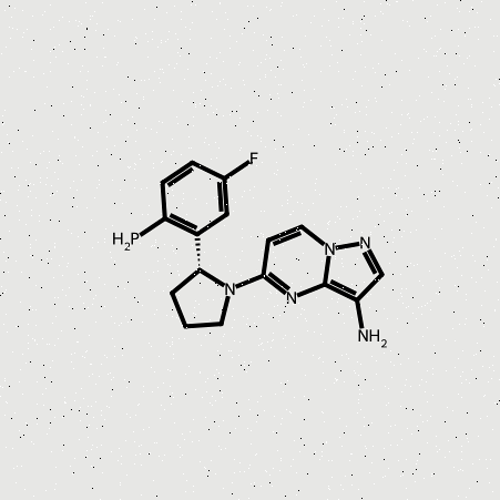 Nc1cnn2ccc(N3CCC[C@@H]3c3cc(F)ccc3P)nc12